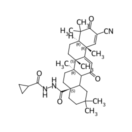 CC1(C)CC[C@]2(C(=O)NNC(=O)C3CC3)CC[C@]3(C)C(C(=O)C=C4[C@@]5(C)C=C(C#N)C(=O)C(C)(C)[C@@H]5CC[C@]43C)C2C1